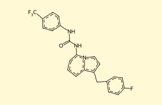 O=C(Nc1ccc(C(F)(F)F)cc1)Nc1cccc2c(Cc3ccc(F)cc3)ccn12